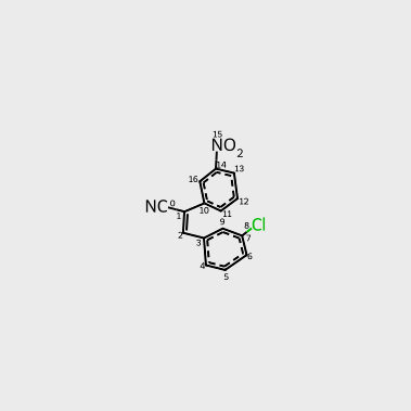 N#CC(=Cc1cccc(Cl)c1)c1cccc([N+](=O)[O-])c1